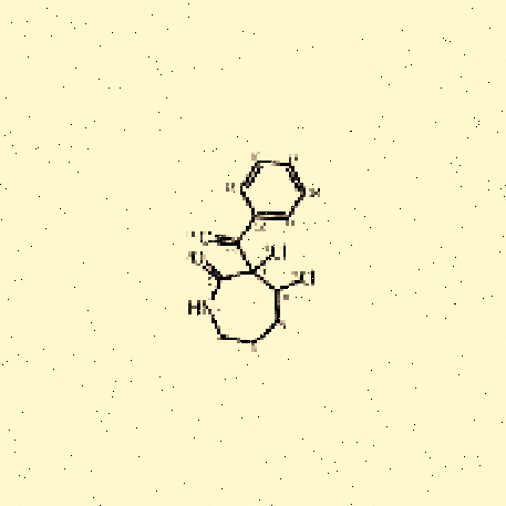 O=C1NCCCC(Cl)C1(Cl)C(=O)c1ccccc1